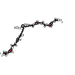 C=CC(=O)OCC1CC2C3C[C@@H](CC3COC(=O)/C=C/C(=O)OCC3CC4C5CC(CC5COC(=O)CCCCCCC5C(CCCCCC)CCC(CCCCCCCC)C5CCCCCCC(=O)OCC5CC6C[C@@H]5C5CC(COC(=O)/C=C/C(=O)OCC7C[C@@H]8CC7C7CC(COC(=O)C(=C)C)CC78)CC65)[C@H]4C3)[C@H]2C1